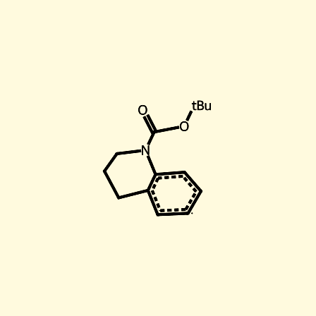 CC(C)(C)OC(=O)N1CCCc2c[c]ccc21